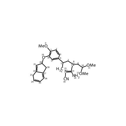 COc1ccc(C(C)CN(CC(OC)OC)C(N)=NC#N)cc1OC1C=C2CC=CC=C2C1